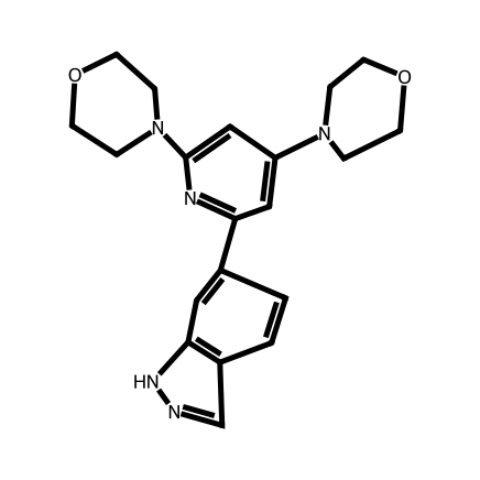 c1cc2cn[nH]c2cc1-c1cc(N2CCOCC2)cc(N2CCOCC2)n1